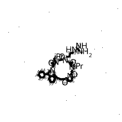 CC(C)CN1CC(=O)N(CCCCNC(=N)N)CC(=O)N(C(C)C)CC(=O)N2CCCC2C(=O)CCCCN(CC(C2C=CC=CC2)C2C=CC=CC2)CC1=O